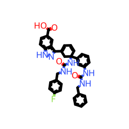 O=C(NCc1ccccc1)Nc1cccc(C2(NC(=O)NCc3ccc(F)cc3)C=CC=C(c3n[nH]c4ccc(C(=O)O)cc34)C2)c1